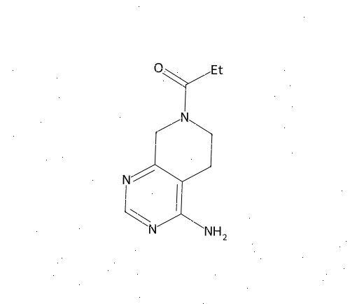 CCC(=O)N1CCc2c(N)ncnc2C1